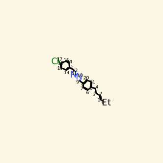 CCC=CCCc1ccc(C=NN=Cc2ccc(Cl)cc2)cc1